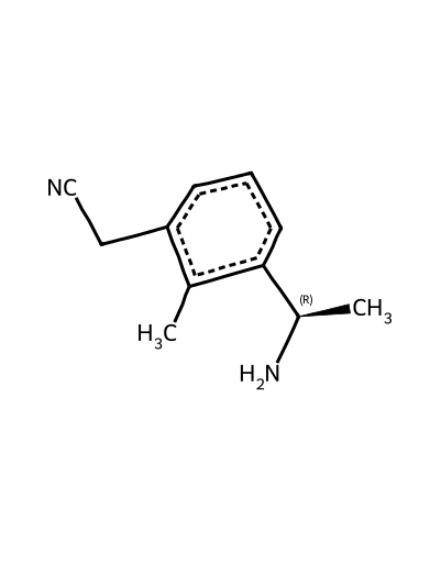 Cc1c(CC#N)cccc1[C@@H](C)N